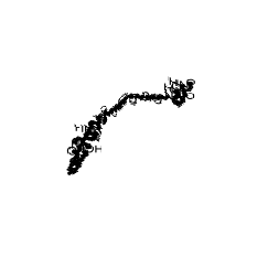 C[C@@H]1CN(C(=O)CCOCCOCCOCCOCCOCCNc2cccc3c2C(=O)N(C2CCC(=O)NC2=O)C3=O)CCN1c1ccc(Nc2cc(-c3ccnc(N4CCn5c(cc6c5CC(C)(C)C6)C4=O)c3CO)cn(C)c2=O)nc1